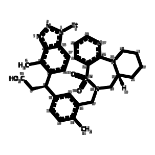 CCn1nnc2c(C)c([C@H](CC(=O)O)c3ccc(C)c(CN4C[C@H]5CCCCN5c5ncccc5S4(=O)=O)c3)ccc21